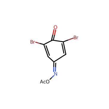 CC(=O)ON=C1C=C(Br)C(=O)C(Br)=C1